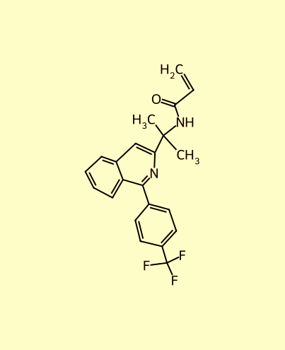 C=CC(=O)NC(C)(C)c1cc2ccccc2c(-c2ccc(C(F)(F)F)cc2)n1